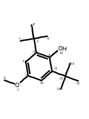 COc1cc(C(C)(C)C)c(O)c(C(C)(C)C)c1